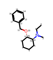 CCN(C)[C@H]1CCCC[C@@H]1OCc1ccccc1